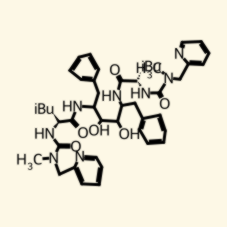 CC[C@H](C)[C@H](NC(=O)N(C)Cc1ccccn1)C(=O)NC(Cc1ccccc1)C(O)C(O)C(Cc1ccccc1)NC(=O)[C@@H](NC(=O)N(C)Cc1ccccn1)[C@@H](C)CC